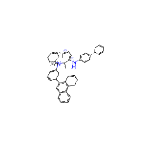 C/C1=C\C=C(\Nc2ccc(C3C=CC=CC3)cc2)C(C)N(C2=CC=CC(c3cc4ccccc4c4c3C=CCC4)C2)[C@@H]2CCC=C1C2